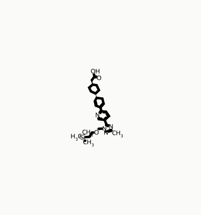 Cc1nc(-c2ccc(C3=CCC([C@H]4CC[C@H](CC(=O)O)CC4)C=C3)nc2)n(COCC[Si](C)(C)C)n1